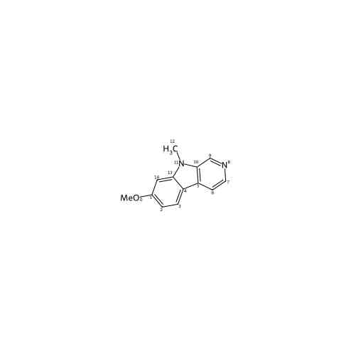 COc1ccc2c3ccncc3n(C)c2c1